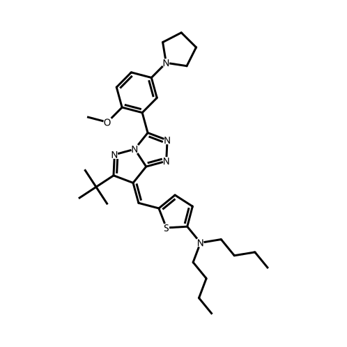 CCCCN(CCCC)c1ccc(/C=c2/c(C(C)(C)C)nn3c(-c4cc(N5CCCC5)ccc4OC)nnc23)s1